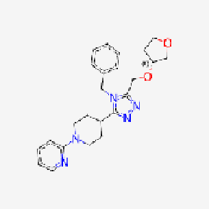 c1ccc(Cn2c(CO[C@@H]3CCOC3)nnc2C2CCN(c3ccccn3)CC2)cc1